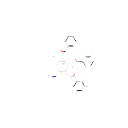 COS/N=C/[C@H]1OC(SC)[C@H](OC(=O)c2ccccc2)C(OC(=O)c2ccccc2)C1OC(=O)c1ccccc1